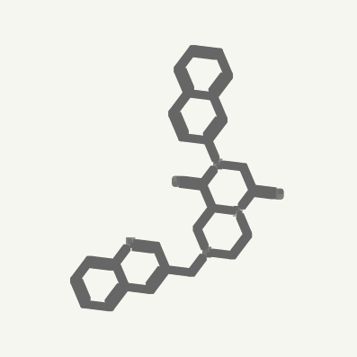 O=C1C2CN(Cc3cnc4ccccc4c3)CCN2C(=O)CN1c1ccc2ccccc2c1